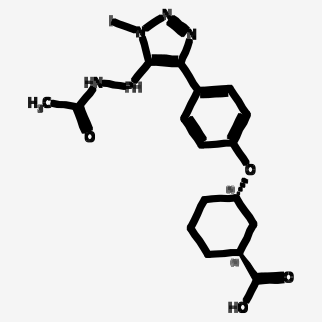 CC(=O)NPc1c(-c2ccc(O[C@H]3CCC[C@H](C(=O)O)C3)cc2)nnn1I